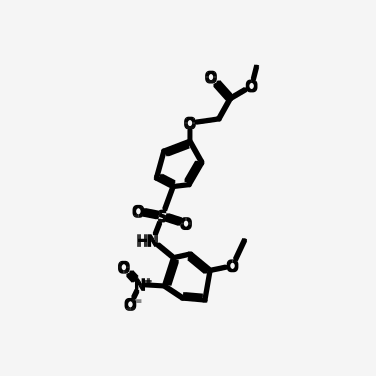 COC(=O)COc1ccc(S(=O)(=O)Nc2cc(OC)ccc2[N+](=O)[O-])cc1